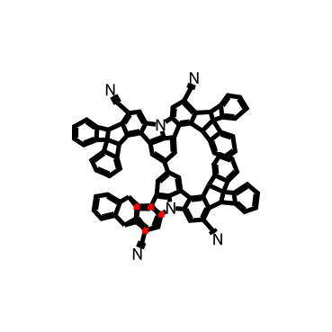 N#Cc1cc2c(c3c1C1c4ccccc4C3c3ccccc31)c1cc(-c3cc4c5c6c(c(C#N)cc5n5c7cc(C#N)c8c(c7c(c3)c45)C3c4ccccc4C34c3ccccc3C84)C3c4ccccc4C34c3ccccc3C64)cc3c4c5c(c(C#N)cc4n2c13)C1c2ccccc2C12c1ccccc1C52